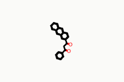 O=C(CC(=O)c1ccc2cc3ccccc3cc2c1)c1ccccc1